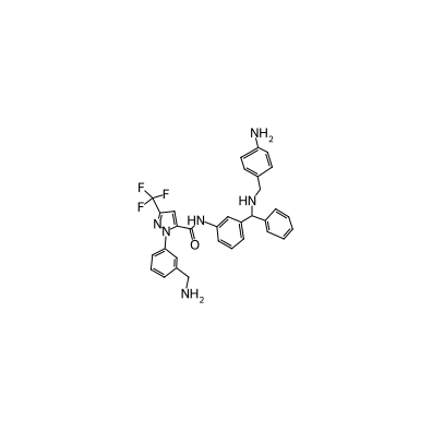 NCc1cccc(-n2nc(C(F)(F)F)cc2C(=O)Nc2cccc(C(NCc3ccc(N)cc3)c3ccccc3)c2)c1